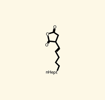 CCCCCCCCCCC=CC1CC(=O)OC1=O